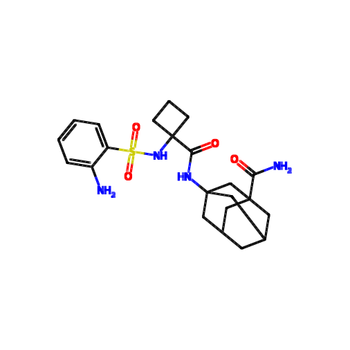 NC(=O)C12CC3CC(CC(NC(=O)C4(NS(=O)(=O)c5ccccc5N)CCC4)(C3)C1)C2